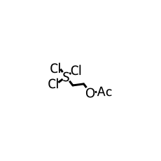 CC(=O)OCCS(Cl)(Cl)Cl